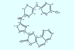 O=c1oc2ccc3ccccc3c2cc1-c1csc(NC2=CC=C(Oc3ccc(Cl)cc3)CC2)n1